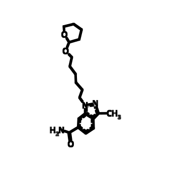 Cc1nn(CCCCCCOC2CCCCO2)c2cc(C(N)=O)ccc12